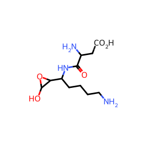 NCCCCC(NC(=O)C(N)CC(=O)O)C1OC1O